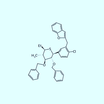 CC[C@H]1S[C@@H](c2ccc(Cl)c(Cc3cc4ccccc4o3)c2)[C@H](OCc2ccccc2)[C@@H](OCc2ccccc2)[C@@H]1C